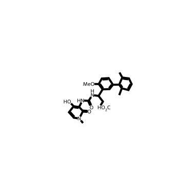 COc1ccc(-c2c(C)cccc2C)cc1C(CC(=O)O)NC(=O)Nc1c(O)ccn(C)c1=O